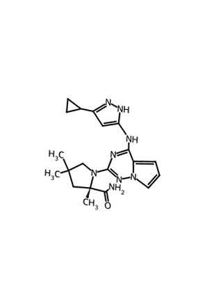 CC1(C)CN(c2nc(Nc3cc(C4CC4)n[nH]3)c3cccn3n2)[C@](C)(C(N)=O)C1